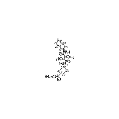 COC(=O)C1CCC(CNC(=O)C(O)C(O)C(=O)Nc2ccc3ccccc3c2)CC1